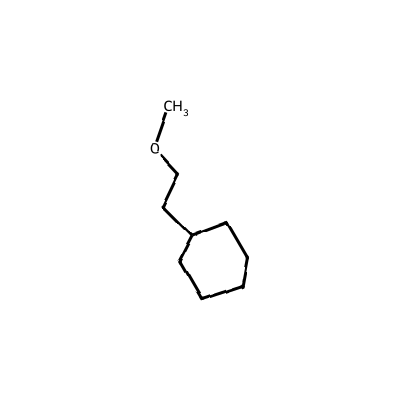 COCC[C]1CCCCC1